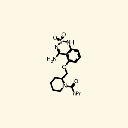 CCCC(=O)N1CCCCC1COc1cccc2c1C(N)=NS(=O)(=O)N2